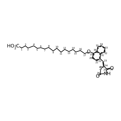 O=C(O)CCCCCCCCCCCCCCCCCOc1ccc(/C=C2\SC(=O)NC2=O)c2ccccc12